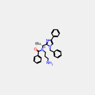 CC(C)(C)[C@H](c1nc(-c2ccccc2)cn1Cc1ccccc1)N(CCCN)C(=O)c1ccccc1